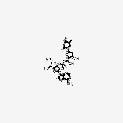 Cc1cn([C@H]2C[C@H](O)[C@@H](C(O)OP(O)(=S)O[C@@]3(O)C[C@H](n4cnc5c(N)ncnc54)O[C@@H]3CO)O2)c(=O)[nH]c1=O.N